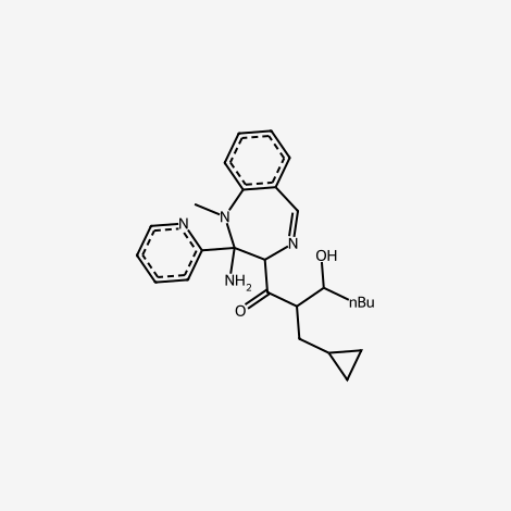 CCCCC(O)C(CC1CC1)C(=O)C1N=Cc2ccccc2N(C)C1(N)c1ccccn1